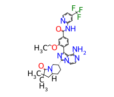 CCOc1cc(C(=O)Nc2cc(C(F)(F)F)ccn2)ccc1-c1nc([C@@H]2CC[C@H]3CC(C)(C)C(=O)N3C2)n2ccnc(N)c12